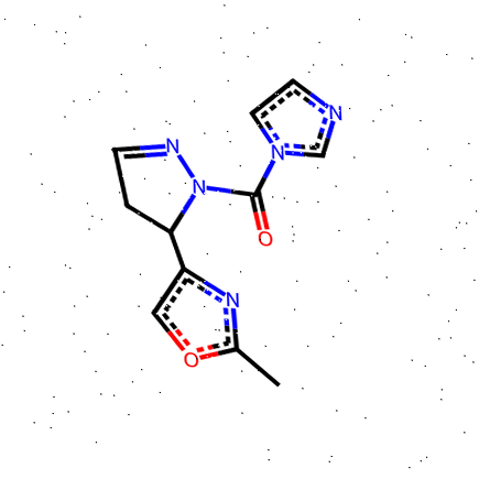 Cc1nc(C2CC=NN2C(=O)n2ccnc2)co1